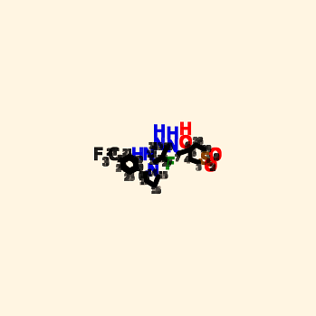 O=S1(=O)CCC(O)(CNC2NCNC(N3CCC[C@@H]3c3ccc(C(F)(F)F)cc3)C2F)CC1